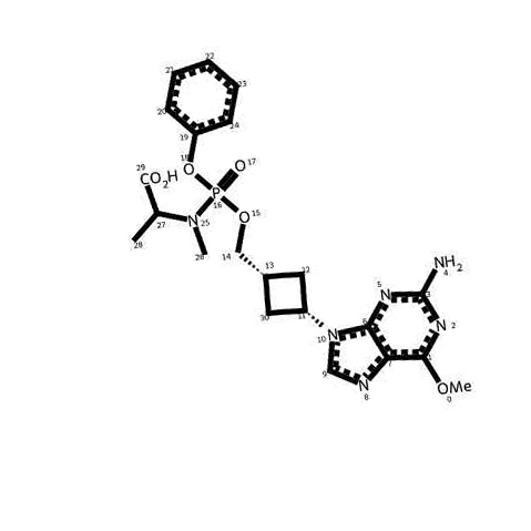 COc1nc(N)nc2c1ncn2[C@H]1C[C@@H](COP(=O)(Oc2ccccc2)N(C)C(C)C(=O)O)C1